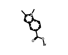 Cc1cc2cc(C(=O)OBr)ccc2n1C